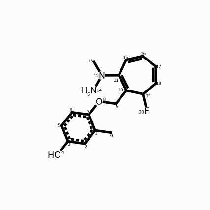 Cc1cc(O)ccc1OCC1=C(N(C)N)C=CC=CC1F